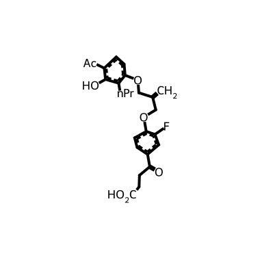 C=C(COc1ccc(C(=O)CCC(=O)O)cc1F)COc1ccc(C(C)=O)c(O)c1CCC